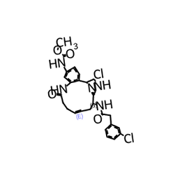 COC(=O)Nc1ccc2c(c1)NC(=O)CC/C=C/C[C@H](NC(=O)Cc1cccc(Cl)c1)C1=NC2C(Cl)N1